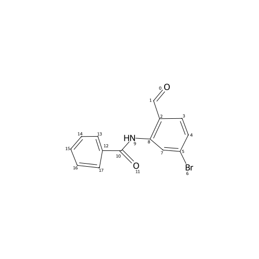 O=Cc1ccc(Br)cc1NC(=O)c1ccccc1